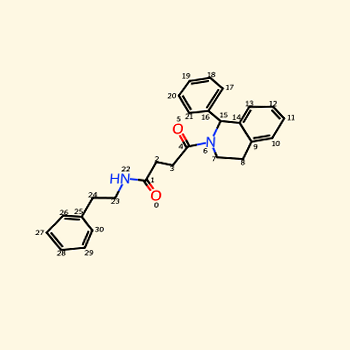 O=C(CCC(=O)N1CCc2ccccc2C1c1ccccc1)NCCc1ccccc1